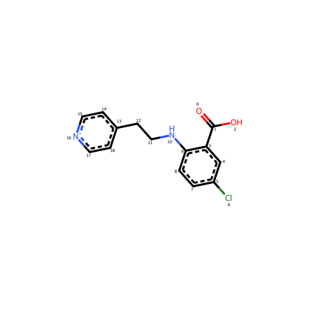 O=C(O)c1cc(Cl)ccc1NCCc1ccncc1